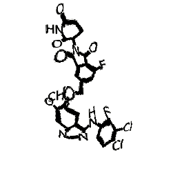 COc1cc2ncnc(Nc3ccc(Cl)c(Cl)c3F)c2cc1OCc1cc(F)c2c(c1)C(=O)N(C1CCC(=O)NC1=O)C2=O